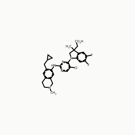 CN1CCc2cc(CC3CC3)c(Nc3ncc(Cl)c(N4CC(C)(CC(=O)O)c5cc(F)c(F)cc54)n3)cc2C1